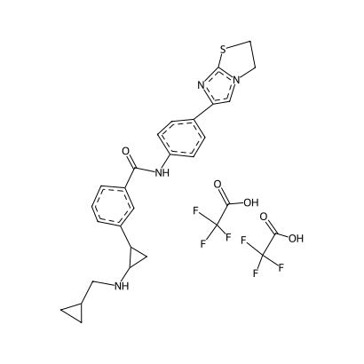 O=C(Nc1ccc(-c2cn3c(n2)SCC3)cc1)c1cccc(C2CC2NCC2CC2)c1.O=C(O)C(F)(F)F.O=C(O)C(F)(F)F